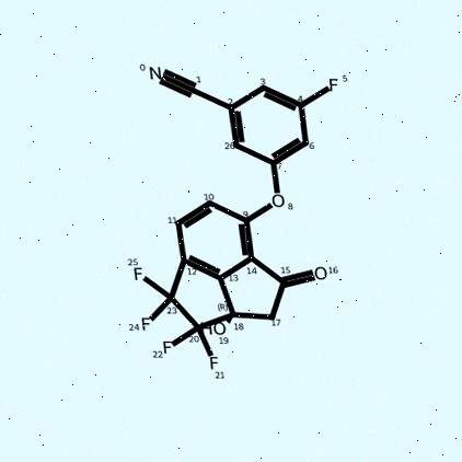 N#Cc1cc(F)cc(Oc2ccc3c4c2C(=O)C[C@]4(O)C(F)(F)C3(F)F)c1